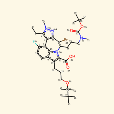 CCc1c(-c2c(F)ccc3c(CCCO[Si](C)(C)C(C)(C)C)c(C(=O)O)n(CCCCN(C)C(=O)OC(C)(C)C)c23)c(CBr)nn1C